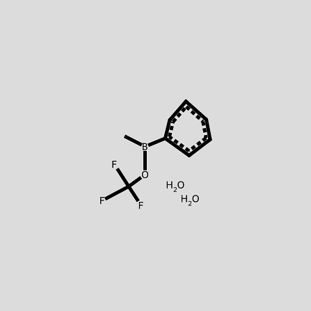 CB(OC(F)(F)F)c1ccccc1.O.O